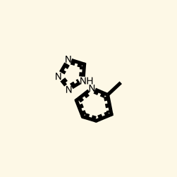 Cc1ccccn1.c1nnn[nH]1